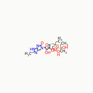 CCC(C)(C[C@H]1O[C@@H](n2cc3nc(C)[nH]c3nc2=O)[C@@H](O)C1O)OP(=O)(O)C(C)(O)CC